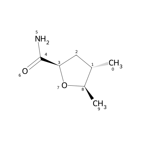 C[C@H]1C[C@H](C(N)=O)O[C@@H]1C